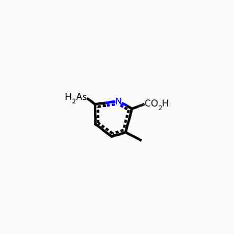 Cc1ccc([AsH2])nc1C(=O)O